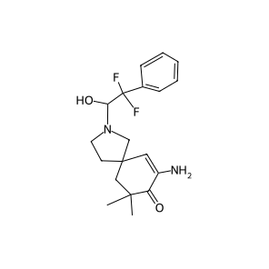 CC1(C)CC2(C=C(N)C1=O)CCN(C(O)C(F)(F)c1ccccc1)C2